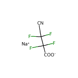 N#CC(F)(F)C(F)(F)C(=O)[O-].[Na+]